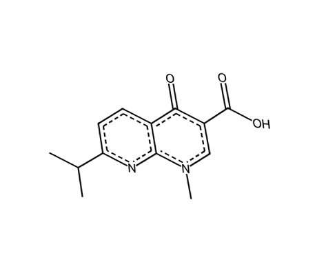 CC(C)c1ccc2c(=O)c(C(=O)O)cn(C)c2n1